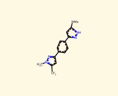 CNc1cc(-c2ccc(-c3cc(C(F)(F)F)n(C)n3)cc2)n[nH]1